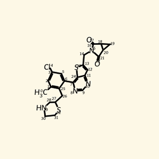 Cc1cc(Cl)cc(-c2ncnc3cc(CN4C(=O)C5CC5C4=O)sc23)c1CC1CNCCS1